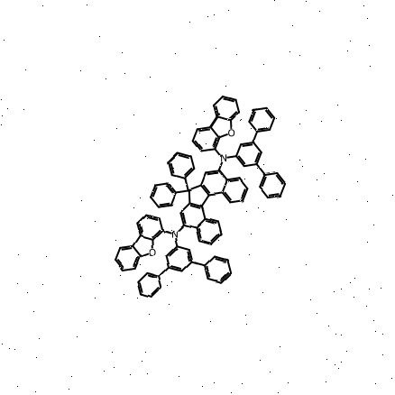 c1ccc(-c2cc(-c3ccccc3)cc(N(c3cc4c(c5ccccc35)-c3c(cc(N(c5cc(-c6ccccc6)cc(-c6ccccc6)c5)c5cccc6c5oc5ccccc56)c5ccccc35)C4(c3ccccc3)c3ccccc3)c3cccc4c3oc3ccccc34)c2)cc1